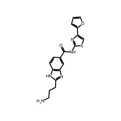 NCCCc1nc2cc(C(=O)Nc3nc(-c4ccco4)cs3)ccc2[nH]1